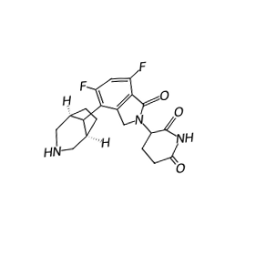 O=C1CCC(N2Cc3c(c(F)cc(F)c3C3[C@@H]4CC[C@H]3CNC4)C2=O)C(=O)N1